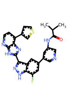 CC(C)C(=O)Nc1cncc(-c2cc(F)c3[nH]nc(-c4nc5c(-c6ccsc6)ccnc5[nH]4)c3c2)c1